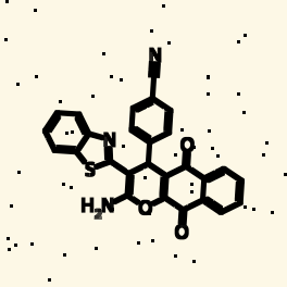 N#Cc1ccc(C2C3=C(OC(N)=C2c2nc4ccccc4s2)C(=O)c2ccccc2C3=O)cc1